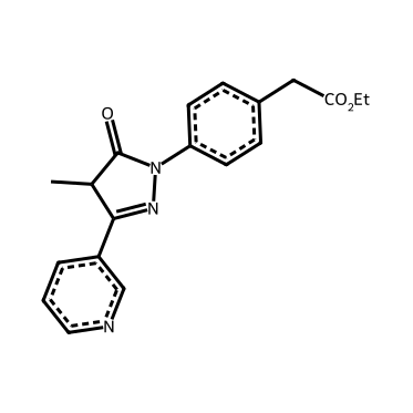 CCOC(=O)Cc1ccc(N2N=C(c3cccnc3)C(C)C2=O)cc1